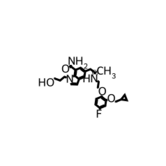 C[C@H](Cc1cc(C(N)=O)c2c(ccn2CCCO)c1)NCCOc1ccc(F)cc1OCC1CC1